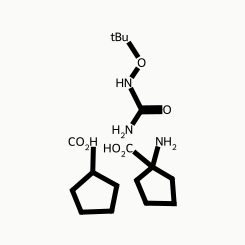 CC(C)(C)ONC(N)=O.NC1(C(=O)O)CCCC1.O=C(O)C1CCCC1